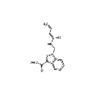 C=C/C=C(\CC)NCn1nc(C(=O)OC)c2ccccc21